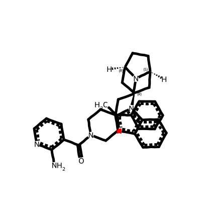 Cc1nc2ccccc2n1[C@H]1C[C@H]2CC[C@@H](C1)N2CCC1(c2ccccc2)CCN(C(=O)c2cccnc2N)CC1